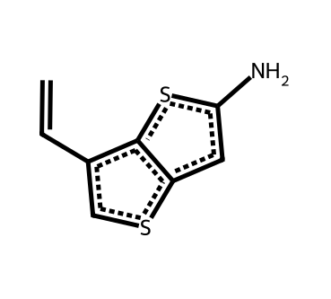 C=Cc1csc2cc(N)sc12